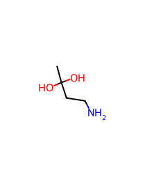 CC(O)(O)CCN